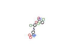 COC(=O)c1nn(C)c2cc(/C=C/c3ccc(OCC4CON=C4C4=C(Cl)C=CCC4Cl)cc3Cl)ccc12